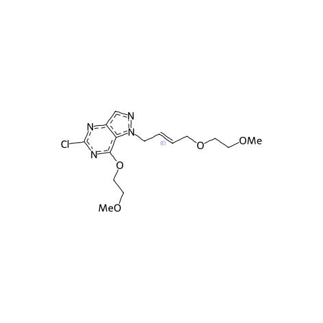 COCCOC/C=C/Cn1ncc2nc(Cl)nc(OCCOC)c21